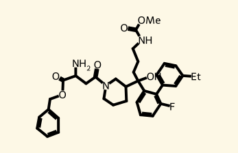 CCc1cccc(-c2c(F)cccc2C(O)(CCCNC(=O)OC)C2CCCN(C(=O)CC(N)C(=O)OCc3ccccc3)C2)c1